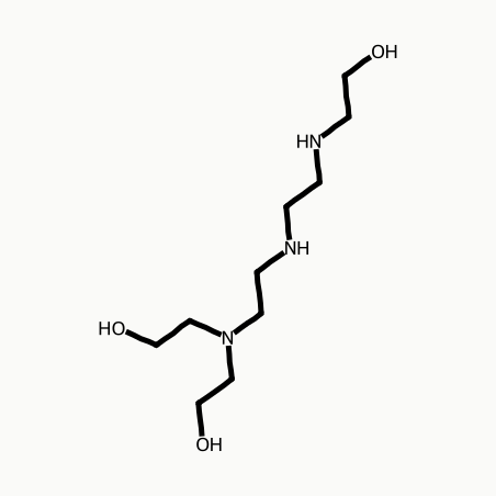 OCCNCCNCCN(CCO)CCO